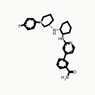 NC(=O)c1cccc(-c2ccnc(N[C@@H]3CCCC[C@H]3N[C@H]3CCCN(c4ccc(F)cc4)C3)c2)c1